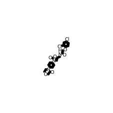 O=C(COc1ccc(Cl)cc1Cl)NCc1cn(-c2ccc(N3CCOCC3=O)cc2)c(=O)o1